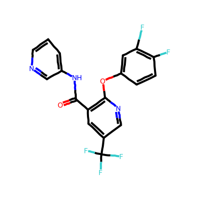 O=C(Nc1cccnc1)c1cc(C(F)(F)F)cnc1Oc1ccc(F)c(F)c1